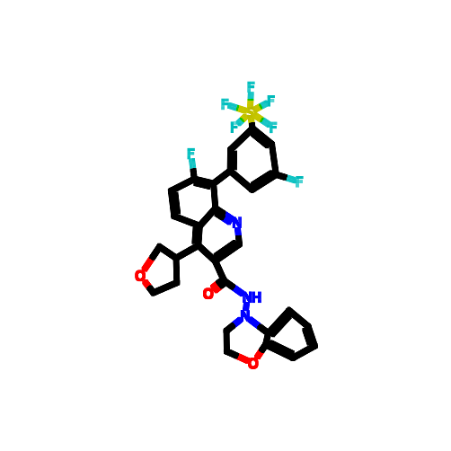 O=C(NN1CCOc2ccccc21)c1cnc2c(-c3cc(F)cc(S(F)(F)(F)(F)F)c3)c(F)ccc2c1C1CCOC1